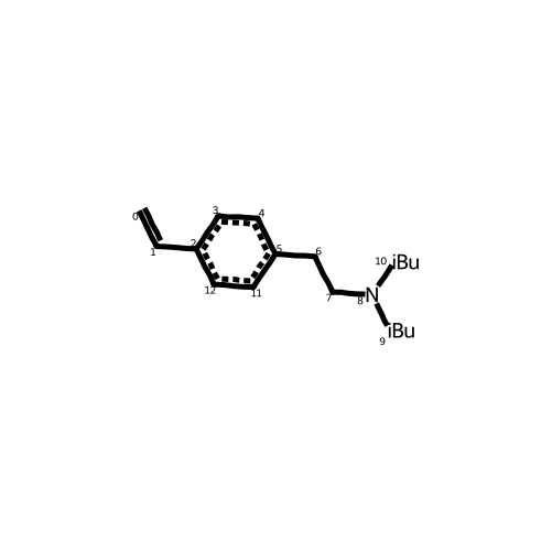 C=Cc1ccc(CCN(C(C)CC)C(C)CC)cc1